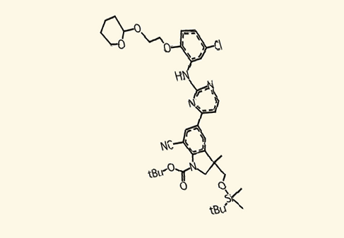 CC(C)(C)OC(=O)N1CC(C)(CO[Si](C)(C)C(C)(C)C)c2cc(-c3ccnc(Nc4cc(Cl)ccc4OCCOC4CCCCO4)n3)cc(C#N)c21